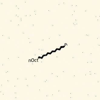 CCCCCCCCCCCCCCCCCCC=C[P]